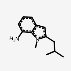 CC(C)Cc1cc2cccc(N)c2n1C